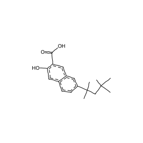 CC(C)(C)CC(C)(C)c1ccc2cc(O)c(C(=O)O)cc2c1